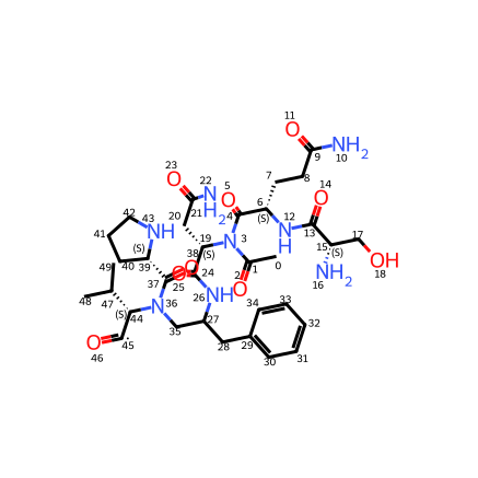 CC(=O)N(C(=O)[C@H](CCC(N)=O)NC(=O)[C@@H](N)CO)[C@@H](CC(N)=O)C(=O)NC(Cc1ccccc1)CN(C(=O)[C@@H]1CCCN1)[C@H]([C]=O)C(C)C